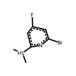 C[SH](C)c1cc(F)cc(Br)n1